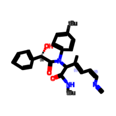 C=N/C=C\C=C(/C)C(C(=O)NC(C)(C)C)N(C(=O)[C@@H](O)c1ccccc1)c1ccc(C(C)(C)C)cc1